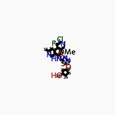 COc1cnc(Cl)c(F)c1-c1cc(C)ncc1C(=O)Nc1nnc(O[C@@H]2CC[C@H](O)C2)s1